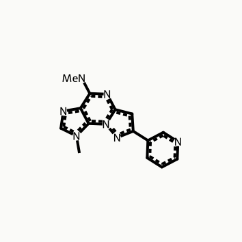 CNc1nc2cc(-c3cccnc3)nn2c2c1ncn2C